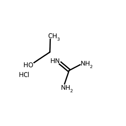 CCO.Cl.N=C(N)N